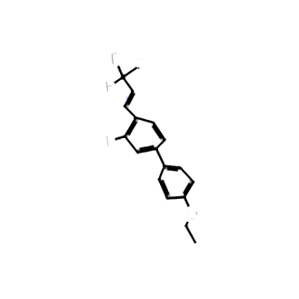 CCOc1ccc(-c2ccc(/C=C/C(F)(F)F)c(F)c2)cc1